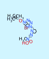 CN(C(=O)O)C1CN(c2cccc(CNc3ncnc4c3c(Br)cn4COCC[Si](C)(C)C)n2)C1